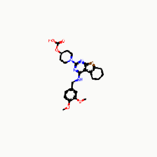 COc1ccc(CNc2nc(N3CCC(OC(=O)O)CC3)nc3sc4c(c23)CCCC4)cc1OC